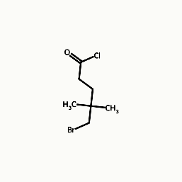 CC(C)(CBr)CCC(=O)Cl